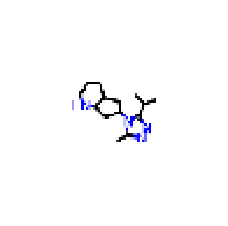 Cc1nnc(C(C)C)n1C1CC2CCCNC2C1